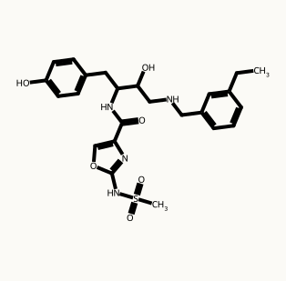 CCc1cccc(CNCC(O)C(Cc2ccc(O)cc2)NC(=O)c2coc(NS(C)(=O)=O)n2)c1